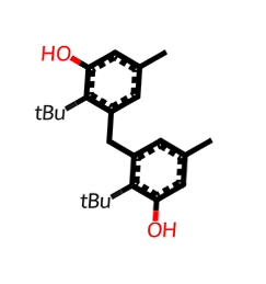 Cc1cc(O)c(C(C)(C)C)c(Cc2cc(C)cc(O)c2C(C)(C)C)c1